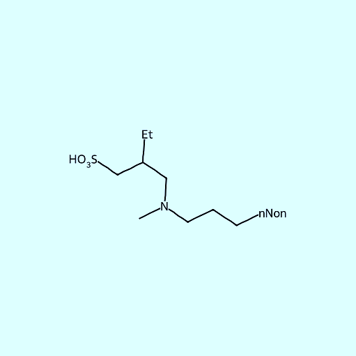 CCCCCCCCCCCCN(C)CC(CC)CS(=O)(=O)O